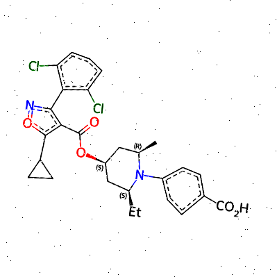 CC[C@H]1C[C@@H](OC(=O)c2c(-c3c(Cl)cccc3Cl)noc2C2CC2)C[C@@H](C)N1c1ccc(C(=O)O)cc1